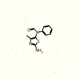 Cc1nc(N)sc1N(C=O)c1ccccc1